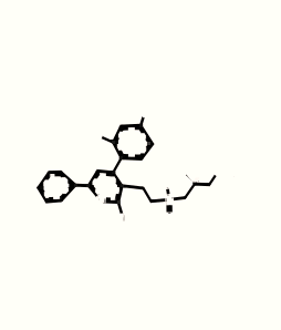 Cc1cc(F)ccc1-c1cc(-c2ccccc2)nc(C(C)C)c1CCP(=O)(O)C[C@@H](O)CC(=O)O